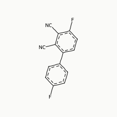 N#Cc1c(F)ccc(-c2ccc(F)cc2)c1C#N